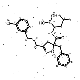 CC(C)CC(NC(=O)C1(Cc2ccccc2)CC(COCc2cccc(Cl)c2)=NO1)B(O)O